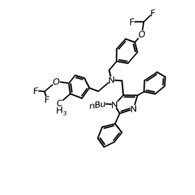 CCCCn1c(-c2ccccc2)nc(-c2ccccc2)c1CN(Cc1ccc(OC(F)F)cc1)Cc1ccc(OC(F)F)c(C)c1